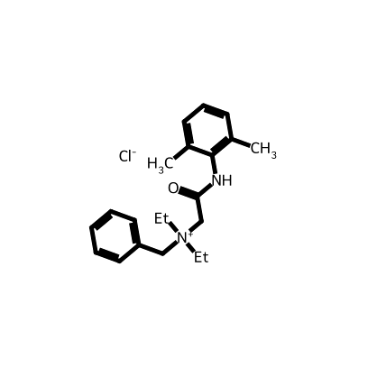 CC[N+](CC)(CC(=O)Nc1c(C)cccc1C)Cc1ccccc1.[Cl-]